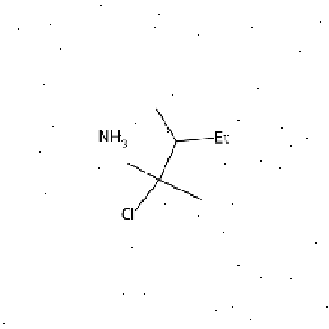 CCC(C)C(C)(C)Cl.N